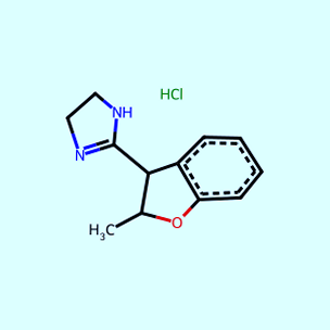 CC1Oc2ccccc2C1C1=NCCN1.Cl